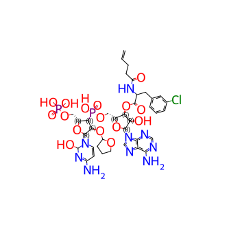 C=CCCC(=O)NC(Cc1cccc(Cl)c1)C(=O)O[C@H]1[C@@H](O)[C@H](n2cnc3c(N)ncnc32)O[C@@H]1COP(=O)(O)[C@H]1[C@@H](OC2CCCO2)[C@H](N2C=CC(N)=NC2O)O[C@@H]1COP(=O)(O)O